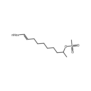 CCCCCCC=CCCCCCCC(C)OS(C)(=O)=O